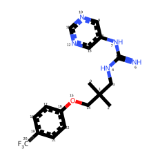 CC(C)(CNC(=N)Nc1cncnc1)COc1ccc(C(F)(F)F)cc1